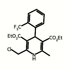 CCOC(=O)C1=C(C)NC(CCl)=C(C(=O)OCC)C1c1ccccc1C(F)(F)F